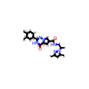 Cc1cc(C)n(C(C)CNC(=O)c2cc3c(=O)[nH]c(-c4ccc(C)c(C)c4)nn3c2)n1